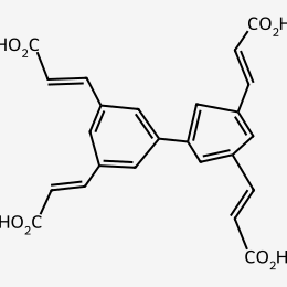 O=C(O)/C=C/c1cc(/C=C/C(=O)O)cc(-c2cc(/C=C/C(=O)O)cc(/C=C/C(=O)O)c2)c1